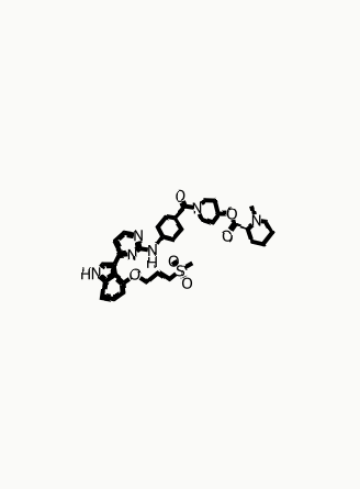 CN1CCCC[C@H]1C(=O)OC1CCN(C(=O)C2CCC(Nc3nccc(-c4c[nH]c5cccc(OCCCS(C)(=O)=O)c45)n3)CC2)CC1